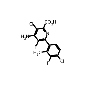 Cc1c(-c2nc(C(=O)O)c(Cl)c(N)c2F)ccc(Cl)c1F